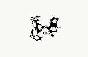 CNc1cnc2[nH]ccc2c1-c1nc2c(c(C(C)(C)S(C)(=O)=O)n1)OC[C@@H]1COC[C@@H](C)N21